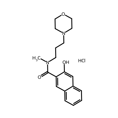 CN(CCCN1CCOCC1)C(=O)c1cc2ccccc2cc1O.Cl